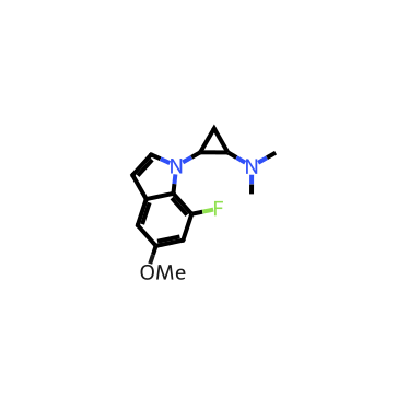 COc1cc(F)c2c(ccn2C2CC2N(C)C)c1